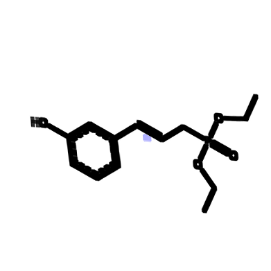 CCOP(=O)(C/C=C/c1cccc(O)c1)OCC